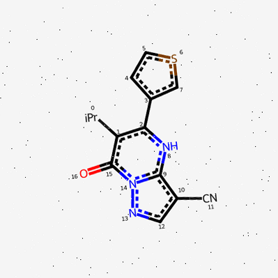 CC(C)c1c(-c2ccsc2)[nH]c2c(C#N)cnn2c1=O